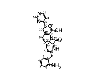 Nc1ccccc1CC(=O)NC1C(=O)N2C(C(=O)O)=C(CSc3ccncn3)CS[C@@H]12